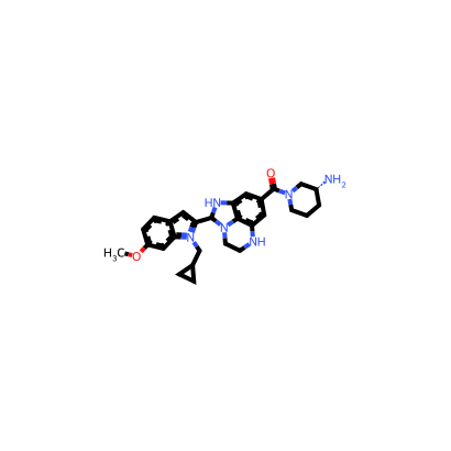 COc1ccc2cc(C3Nc4cc(C(=O)N5CCC[C@@H](N)C5)cc5c4N3CCN5)n(CC3CC3)c2c1